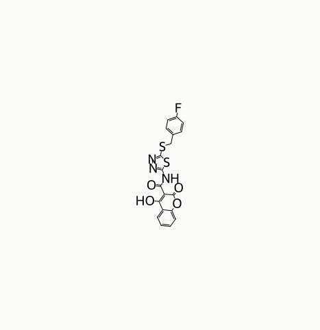 O=C(Nc1nnc(SCc2ccc(F)cc2)s1)c1c(O)c2ccccc2oc1=O